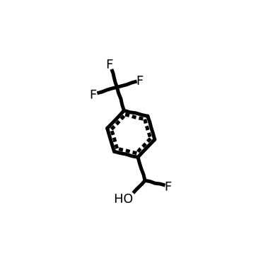 OC(F)c1ccc(C(F)(F)F)cc1